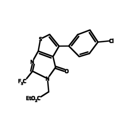 CCOC(=O)Cn1c(C(F)(F)F)nc2scc(-c3ccc(Cl)cc3)c2c1=O